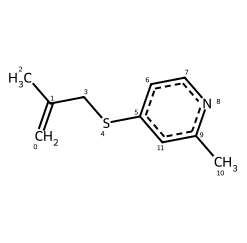 C=C(C)CSc1ccnc(C)c1